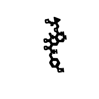 Cn1c(=O)c(C(=O)NCc2ccc(C#N)cc2)cc2cnnc(OCC3(SCl)CC3)c21